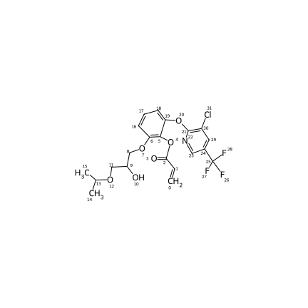 C=CC(=O)Oc1c(OCC(O)COC(C)C)cccc1Oc1ncc(C(F)(F)F)cc1Cl